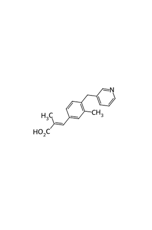 CC(=Cc1ccc(Cc2cccnc2)c(C)c1)C(=O)O